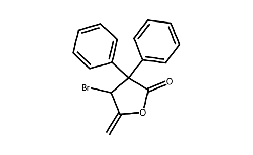 C=C1OC(=O)C(c2ccccc2)(c2ccccc2)C1Br